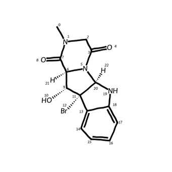 CN1CC(=O)N2[C@H](C1=O)[C@@H](O)[C@]1(Br)c3ccccc3N[C@H]21